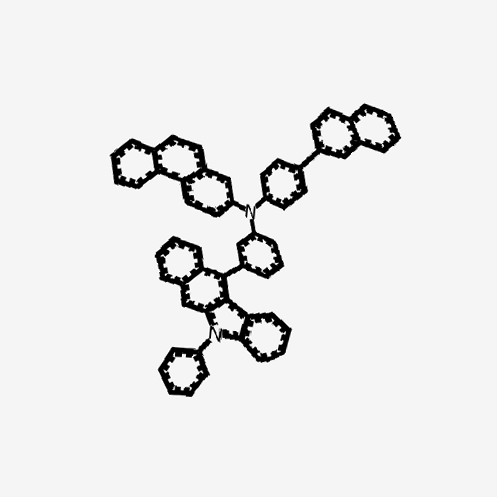 c1ccc(-n2c3ccccc3c3c(-c4cccc(N(c5ccc(-c6ccc7ccccc7c6)cc5)c5ccc6c(ccc7ccccc76)c5)c4)c4ccccc4cc32)cc1